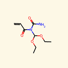 C=CC(=O)N(C(N)=O)C(OCC)OCC